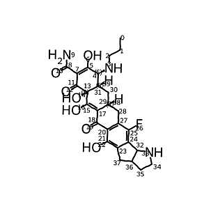 CCCN[C@@H]1C(O)=C(C(N)=O)C(=O)[C@@]2(O)C(O)=C3C(=O)c4c(O)c5c(c(F)c4C[C@H]3C[C@@H]12)C1NCCC1C5